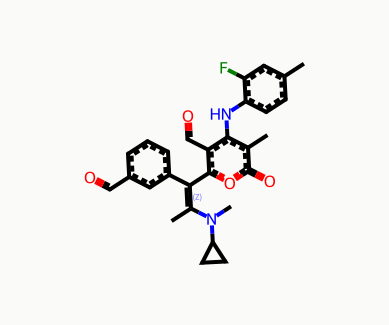 C/C(=C(\c1cccc(C=O)c1)c1oc(=O)c(C)c(Nc2ccc(C)cc2F)c1C=O)N(C)C1CC1